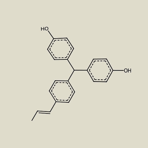 CC=Cc1ccc(C(c2ccc(O)cc2)c2ccc(O)cc2)cc1